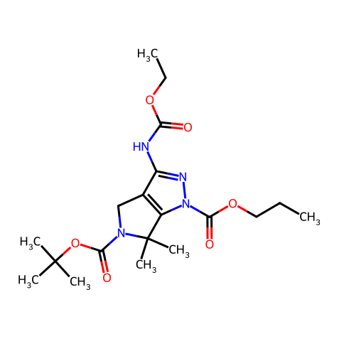 CCCOC(=O)n1nc(NC(=O)OCC)c2c1C(C)(C)N(C(=O)OC(C)(C)C)C2